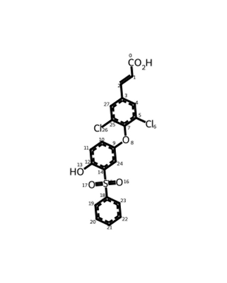 O=C(O)C=Cc1cc(Cl)c(Oc2ccc(O)c(S(=O)(=O)c3ccccc3)c2)c(Cl)c1